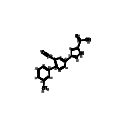 [C-]#[N+]c1cc(-c2cc(C(=O)O)[nH]n2)ccc1-c1cccc(C)c1